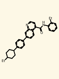 CCc1ccccc1NC(=O)c1ccnc2cc(-c3ccc(C4CCC(CC)CC4)cc3)ccc12